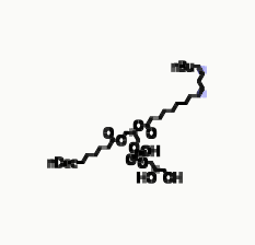 CCCC/C=C\C/C=C\CCCCCCCC(=O)O[C@H](COC(=O)CCCCCCCCCCCCCCC)COP(=O)(O)OC[C@@H](O)CO